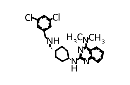 CN(C)c1nc(N[C@H]2CC[C@@H](CNCc3cc(Cl)cc(Cl)c3)CC2)nc2ccccc12